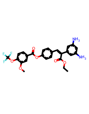 CCOC(=O)C(=Cc1ccc(OC(=O)c2ccc(OC(F)(F)F)c(OC)c2)cc1)c1cc(N)cc(N)c1